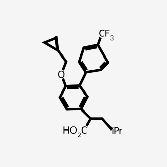 CC(C)CC(C(=O)O)c1ccc(OCC2CC2)c(-c2ccc(C(F)(F)F)cc2)c1